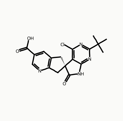 CC(C)(C)c1nc(Cl)c2c(n1)NC(=O)[C@]21Cc2cc(C(=O)O)cnc2C1